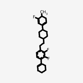 CC1CC=C(C2CCC(CCc3ccc(C4=CCCCC4)c(F)c3F)CC2)C=C1F